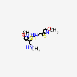 CNCCC1=C[SH](CCNCCc2csc3nc(OC)ccc23)c2nc(OC)ccc21